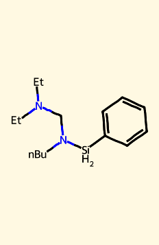 CCCCN(CN(CC)CC)[SiH2]c1ccccc1